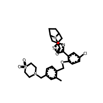 Cc1cc(CN2CCS(=O)(=O)CC2)ccc1COc1ccc(Cl)cc1-c1csc(N2C3CCC2CC(C=O)C3)n1